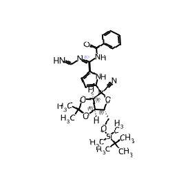 CC1(C)O[C@H]2[C@@H](O1)[C@](C#N)(c1ccc(/C(=N\C=N)NC(=O)c3ccccc3)[nH]1)O[C@@H]2CO[Si](C)(C)C(C)(C)C